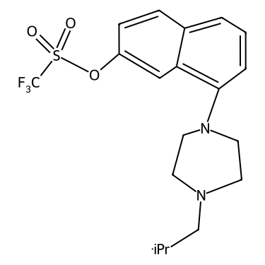 C[C](C)CN1CCN(c2cccc3ccc(OS(=O)(=O)C(F)(F)F)cc23)CC1